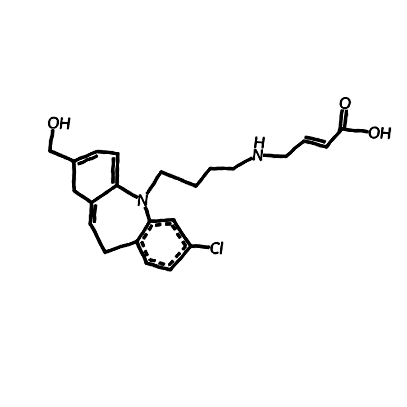 O=C(O)C=CCNCCCCN1C2=CC=C(CO)CC2=CCc2ccc(Cl)cc21